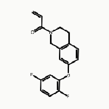 C=CC(=O)N1CCc2ccc(Oc3cc(F)ccc3F)cc2C1